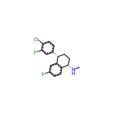 CN[C@H]1CC[C@@H](c2ccc(Cl)c(F)c2)c2cc(F)ccc21